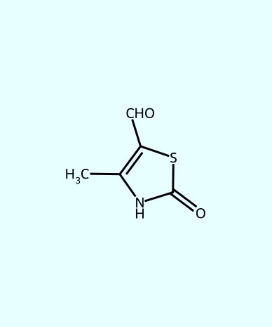 Cc1[nH]c(=O)sc1C=O